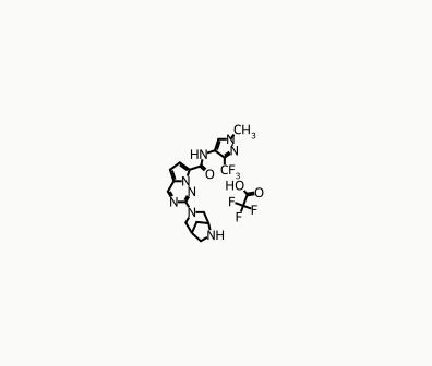 Cn1cc(NC(=O)c2ccc3cnc(N4CC5CNC(C5)C4)nn23)c(C(F)(F)F)n1.O=C(O)C(F)(F)F